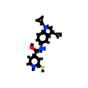 N#Cc1cn(C2CC2)c2ccc(NC(=O)c3ccnc(F)c3)cc12